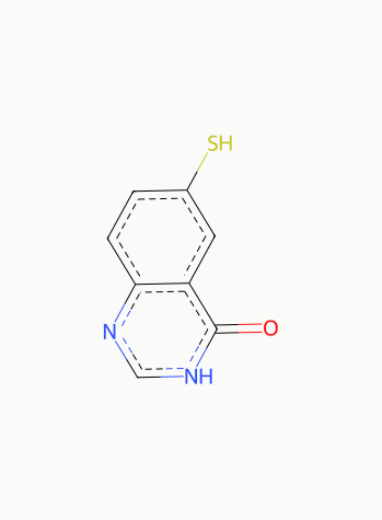 O=c1[nH]cnc2ccc(S)cc12